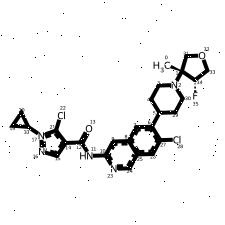 C[C@@]1(N2CCC(c3cc4cc(NC(=O)c5cnn(C6CC6)c5Cl)ncc4cc3Cl)CC2)COC[C@@H]1F